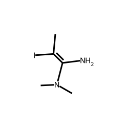 C/C(I)=C(\N)N(C)C